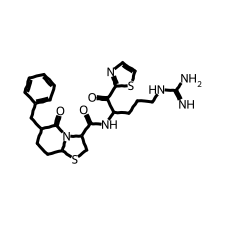 N=C(N)NCCCC(NC(=O)C1CSC2CCC(Cc3ccccc3)C(=O)N21)C(=O)c1nccs1